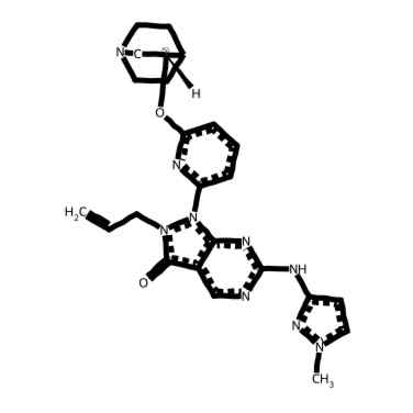 C=CCn1c(=O)c2cnc(Nc3ccn(C)n3)nc2n1-c1cccc(O[C@@H]2CN3CCC2CC3)n1